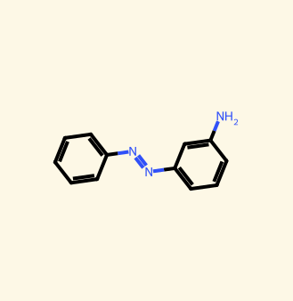 Nc1cccc(N=Nc2ccccc2)c1